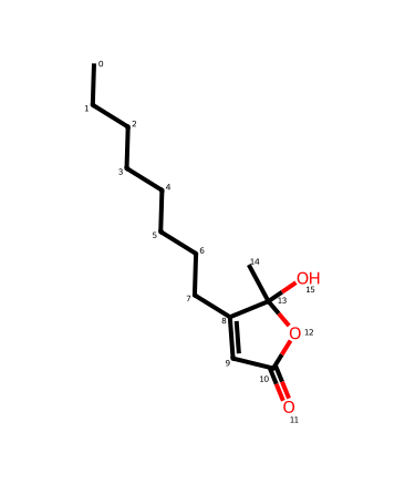 CCCCCCCCC1=CC(=O)OC1(C)O